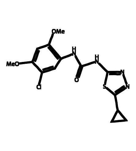 COc1cc(OC)c(NC(=O)Nc2nnc(C3CC3)s2)cc1Cl